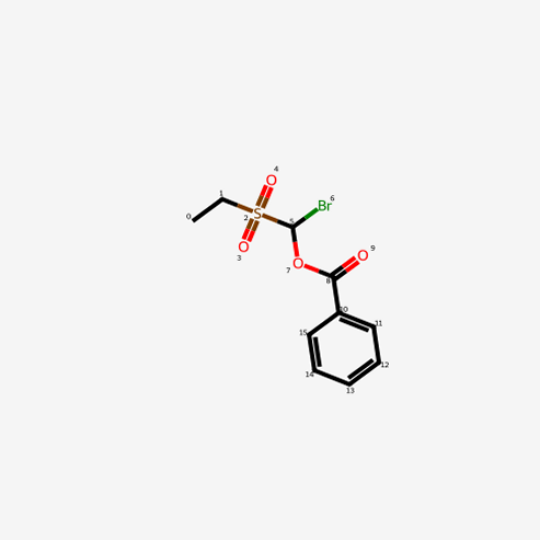 CCS(=O)(=O)C(Br)OC(=O)c1ccccc1